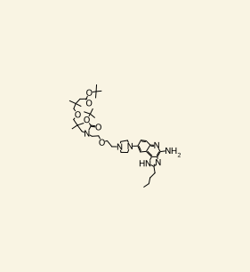 CCCCc1nc2c(N)nc3ccc(N4CCN(CCOCCN(CC(C)(C)COCC(C)(C)CC(=O)OC(C)(C)C)C(=O)OC(C)(C)C)CC4)cc3c2[nH]1